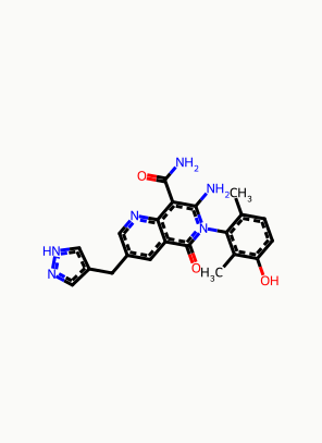 Cc1ccc(O)c(C)c1-n1c(N)c(C(N)=O)c2ncc(Cc3cn[nH]c3)cc2c1=O